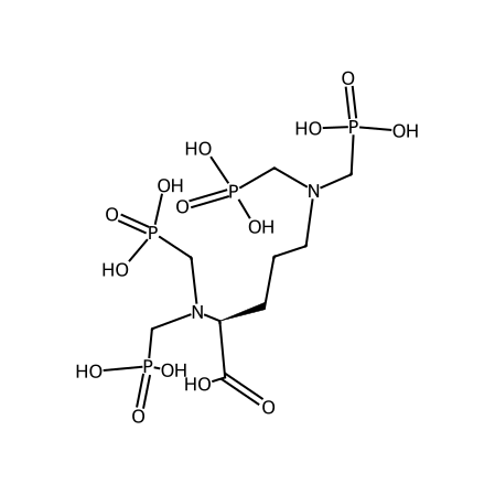 O=C(O)[C@H](CCCN(CP(=O)(O)O)CP(=O)(O)O)N(CP(=O)(O)O)CP(=O)(O)O